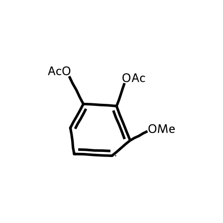 COc1[c]ccc(OC(C)=O)c1OC(C)=O